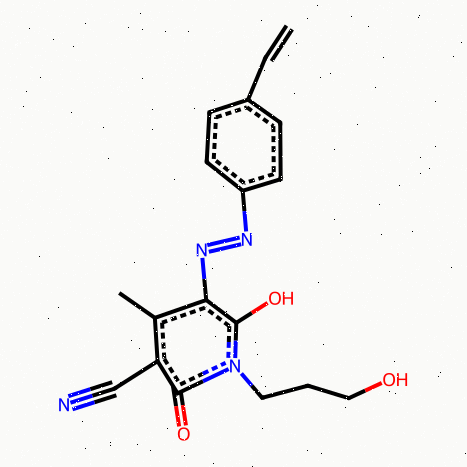 C=Cc1ccc(/N=N/c2c(C)c(C#N)c(=O)n(CCCO)c2O)cc1